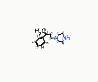 C=C(CCN1CCNCC1)c1ccccc1